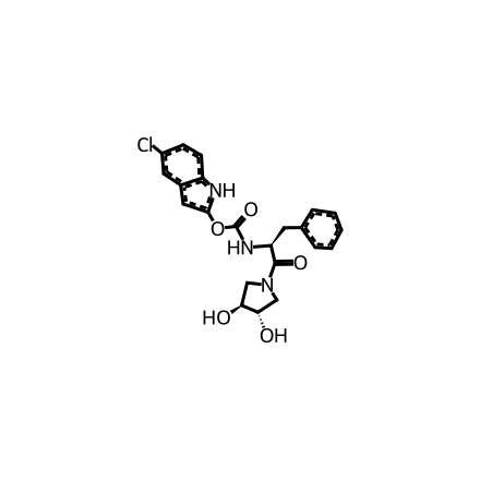 O=C(N[C@@H](Cc1ccccc1)C(=O)N1C[C@H](O)[C@@H](O)C1)Oc1cc2cc(Cl)ccc2[nH]1